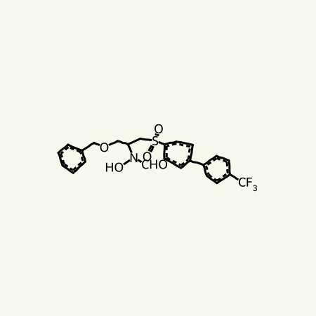 O=CN(O)C(COCc1ccccc1)CS(=O)(=O)c1ccc(-c2ccc(C(F)(F)F)cc2)cc1